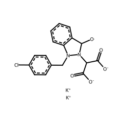 [K+].[K+].[O]C1c2ccccc2N(Cc2ccc(Cl)cc2)N1C(C(=O)[O-])C(=O)[O-]